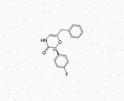 O=C1NC=C(Cc2ccccc2)O[C@H]1c1ccc(F)cc1